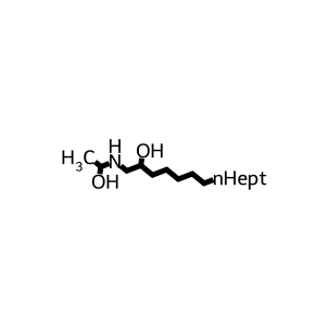 CCCCCCCCCCCCC(O)CNC(C)O